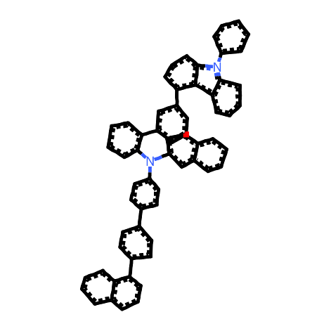 c1ccc(-n2c3ccccc3c3c(-c4cccc(-c5ccccc5N(c5ccc(-c6ccc(-c7cccc8ccccc78)cc6)cc5)c5ccc6ccccc6c5)c4)cccc32)cc1